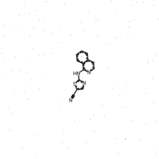 N#Cc1cnc(Nc2nccc3ccccc23)s1